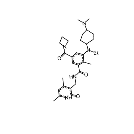 CCN(c1cc(C(=O)N2CCC2)cc(C(=O)NCc2c(C)cc(C)[nH]c2=O)c1C)C1CCC(N(C)C)CC1